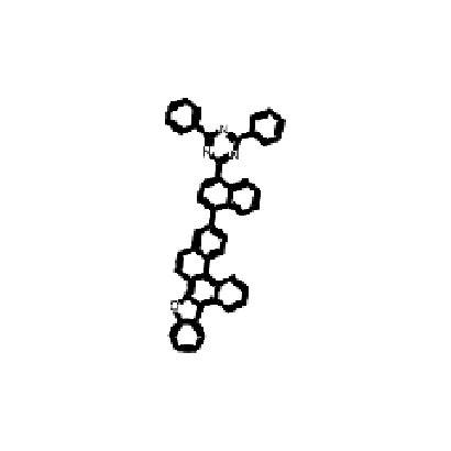 c1ccc(-c2nc(-c3ccccc3)nc(-c3ccc(-c4ccc5c(ccc6c7oc8ccccc8c7c7ccccc7c56)c4)c4ccccc34)n2)cc1